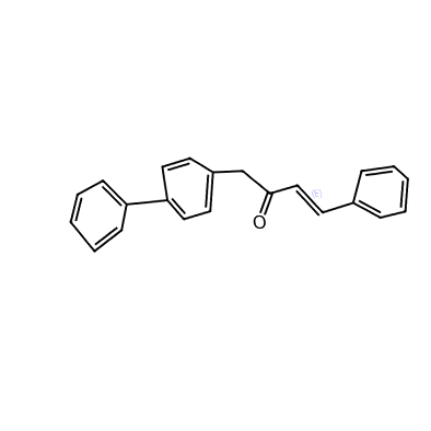 O=C(/C=C/c1ccccc1)Cc1ccc(-c2ccccc2)cc1